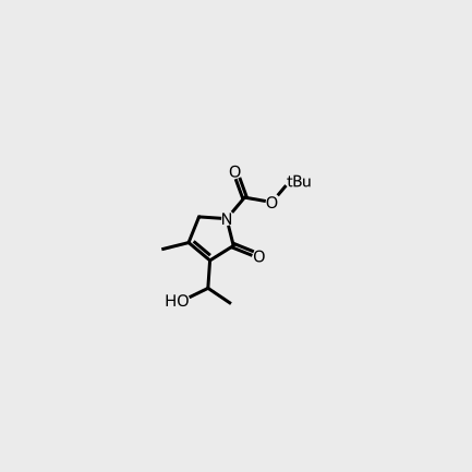 CC1=C(C(C)O)C(=O)N(C(=O)OC(C)(C)C)C1